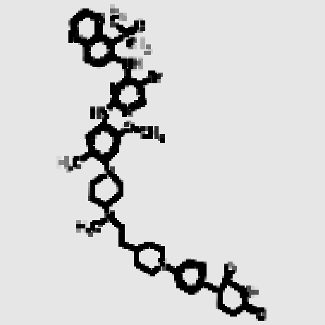 COc1cc(N2CCC(N(C)CCC3CCN(c4ccc(C5CCC(=O)NC5=O)cc4)CC3)CC2)c(C)cc1Nc1ncc(Br)c(Nc2ccc3nccnc3c2P(C)(C)=O)n1